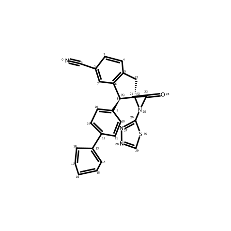 N#Cc1ccc2c(c1)[C@H](c1ccc(-c3ccccc3)cc1)[C@@]1(C2)C(=O)N1c1nncs1